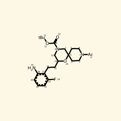 CC(=O)N1CCC2(CC1)CN(C(=O)OC(C)(C)C)CC(CCc1c(N)cccc1F)O2